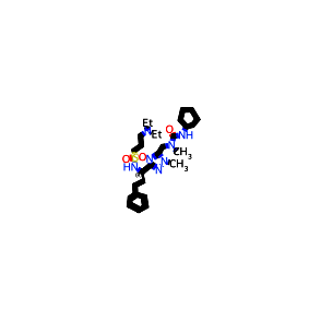 CCN(CC)CCCS(=O)(=O)N[C@H](CCc1ccccc1)c1nc(CN(C)C(=O)NC2CCCCC2)n(C)n1